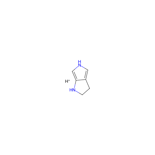 [H+].c1[nH]cc2c1CCN2